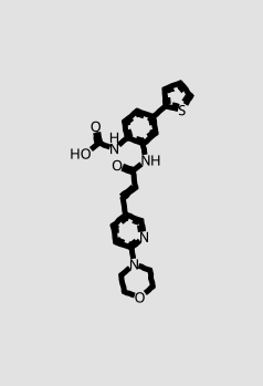 O=C(O)Nc1ccc(-c2cccs2)cc1NC(=O)C=Cc1ccc(N2CCOCC2)nc1